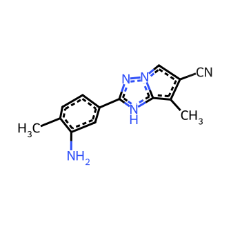 Cc1ccc(-c2nn3cc(C#N)c(C)c3[nH]2)cc1N